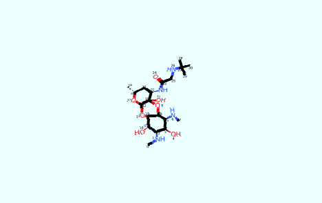 CN[C@@H]1[C@H](O)[C@H](NC)C2O[C@]3(O)C(OC2[C@H]1O)O[C@H](C)C[C@H]3NC(=O)CNC(C)(C)C